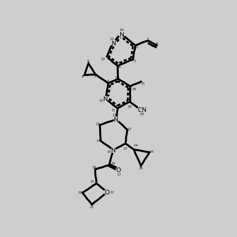 C=Cc1cc(-c2c(C3CC3)nc(N3CCN(C(=O)CC4CCO4)C(C4CC4)C3)c(C#N)c2C)cnn1